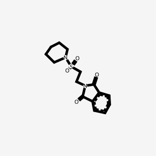 O=C1c2ccccc2C(=O)N1CCS(=O)(=O)N1CCCCC1